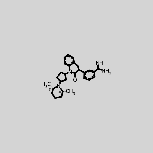 C[C@@H]1CCC[C@H](C)N1C1CCC(N2C(=O)C(c3cccc(C(=N)N)c3)Cc3ccccc32)C1